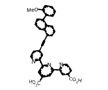 COc1ccccc1-c1cccc2c(C#Cc3ccnc(-c4cc(C(=O)O)cc(-c5cc(C(=O)O)ccn5)n4)c3)cccc12